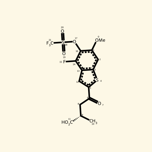 COc1cc2sc(C(=O)C[C@H](C)C(=O)O)cc2c(F)c1OS(=O)(=O)C(F)(F)F